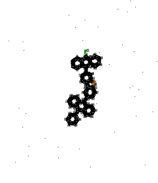 Fc1c2ccccc2c(-c2ccc3c(c2)sc2ccc(-c4c5ccccc5c(-c5ccccc5)c5ccccc45)cc23)c2ccccc12